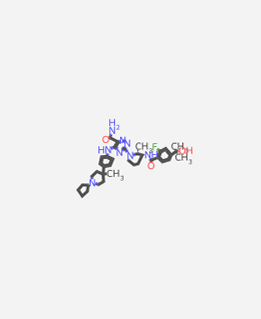 C[C@@H]1[C@H](NC(=O)c2ccc(C(C)(C)O)cc2F)CCCN1c1nnc(C(N)=O)c(Nc2ccc(C3(C)CCN(C4CCCC4)CC3)cc2)n1